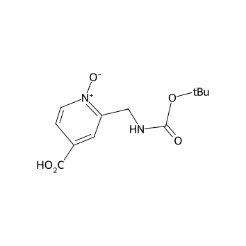 CC(C)(C)OC(=O)NCc1cc(C(=O)O)cc[n+]1[O-]